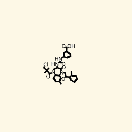 Cc1ccc2c(c1)N(CC(=O)c1ccccc1C)C(=O)C(NC(=O)Nc1cccc(C(=O)O)c1)CN2C(=O)C(C)(C)CCl